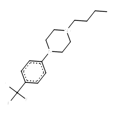 CCCCN1CCN(c2ccc(C(F)(F)F)cc2)CC1